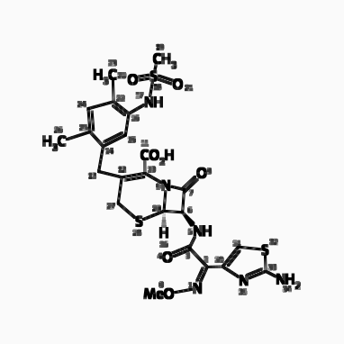 CO/N=C(\C(=O)N[C@@H]1C(=O)N2C(C(=O)O)=C(Cc3cc(NS(C)(=O)=O)c(C)cc3C)CS[C@H]12)c1csc(N)n1